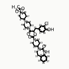 CS(=O)(=O)N1CCC(N2CCN(C(=O)C(Cc3ccc(O)c(Cl)c3)OC(=O)N3CCC(N4CCc5ccccc5NC4=O)CC3)CC2)CC1